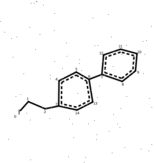 ICCc1ccc(-c2ccccc2)cc1